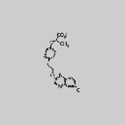 CC(Oc1ccc(CCOc2cnc3cc(Cl)ccc3n2)cc1)C(=O)O